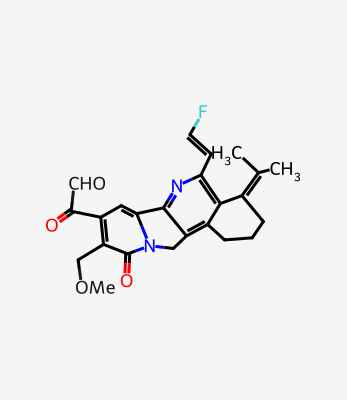 COCc1c(C(=O)C=O)cc2n(c1=O)Cc1c-2nc(/C=C/F)c2c1CCCC2=C(C)C